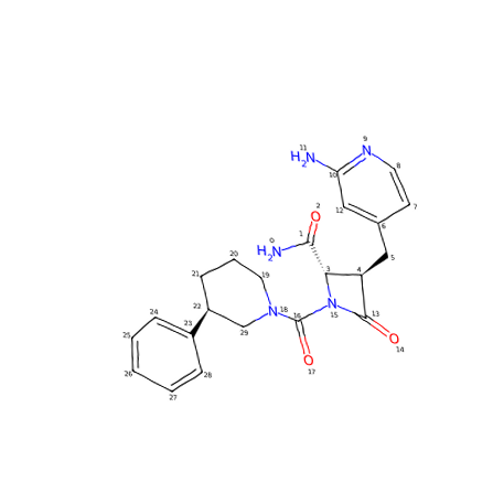 NC(=O)[C@@H]1[C@@H](Cc2ccnc(N)c2)C(=O)N1C(=O)N1CCC[C@H](c2ccccc2)C1